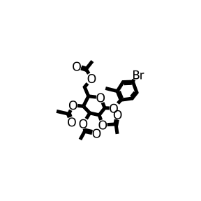 CC(=O)OCC1OC(Oc2ccc(Br)cc2C)C(OC(C)=O)C(OC(C)=O)C1OC(C)=O